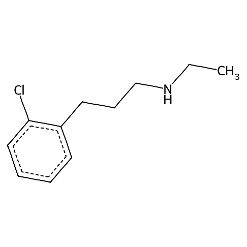 CCNCCCc1ccccc1Cl